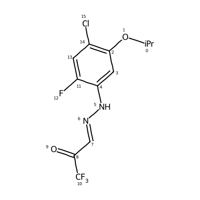 CC(C)Oc1cc(NN=CC(=O)C(F)(F)F)c(F)cc1Cl